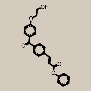 O=C(/C=C/c1ccc(C(=O)c2ccc(OCCO)cc2)cc1)Oc1ccccc1